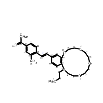 COCCN1CCOCCOCCOCCOc2cc(/C=C/c3ccc(C(=O)OC)cc3[N+](=O)[O-])ccc21